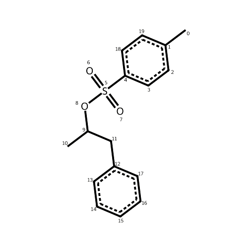 Cc1ccc(S(=O)(=O)OC(C)Cc2ccccc2)cc1